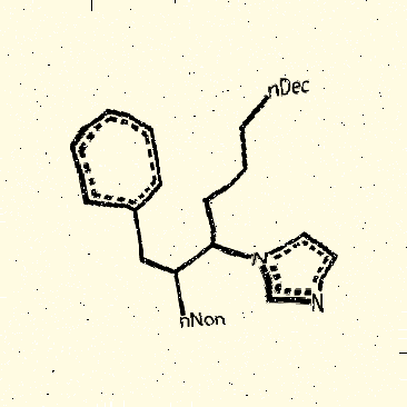 CCCCCCCCCCCCCC(C(CCCCCCCCC)Cc1ccccc1)n1ccnc1